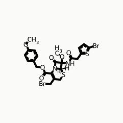 COc1ccc(COC(=O)C2=C(CBr)CS[C@@H]3N2C(=O)C3(NC(=O)Cc2ccc(Br)s2)OC)cc1